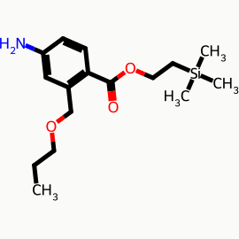 CCCOCc1cc(N)ccc1C(=O)OCC[Si](C)(C)C